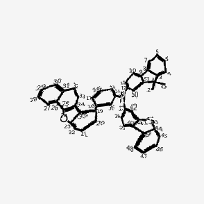 CC1(C)c2ccccc2-c2ccc(N(c3cccc(-c4cccc5oc6c7ccccc7ccc6c45)c3)c3ccc4c(c3)sc3ccccc34)cc21